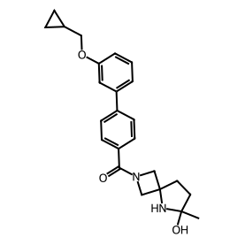 CC1(O)CCC2(CN(C(=O)c3ccc(-c4cccc(OCC5CC5)c4)cc3)C2)N1